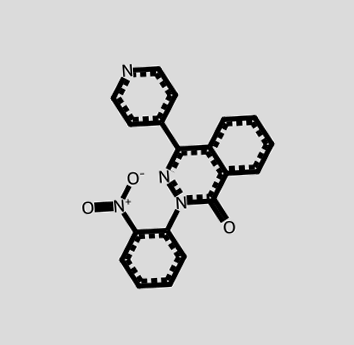 O=c1c2ccccc2c(-c2ccncc2)nn1-c1ccccc1[N+](=O)[O-]